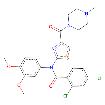 COc1ccc(N(C(=O)c2ccc(Cl)cc2Cl)c2nc(C(=O)N3CCN(C)CC3)cs2)cc1OC